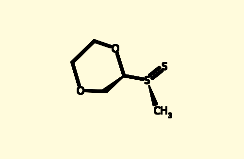 C[S@](=S)[C@H]1COCCO1